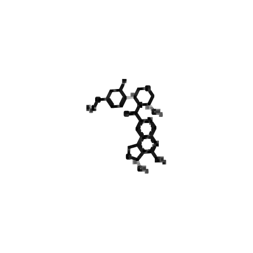 C[C@@H]1OCc2c1c(N)nc1cnc(C(=O)N3[C@@H](C)COC[C@H]3C3=CC=C(OC(F)(F)F)CC3F)cc21